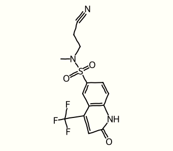 CN(CCC#N)S(=O)(=O)c1ccc2[nH]c(=O)cc(C(F)(F)F)c2c1